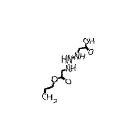 C=CCOC(=O)CNNNCC(=O)O